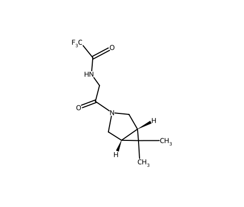 CC1(C)[C@@H]2CN(C(=O)CNC(=O)C(F)(F)F)C[C@@H]21